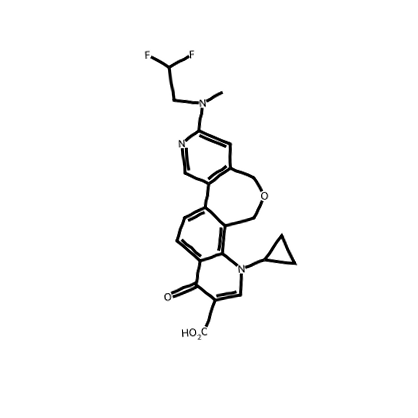 CN(CC(F)F)c1cc2c(cn1)-c1ccc3c(=O)c(C(=O)O)cn(C4CC4)c3c1COC2